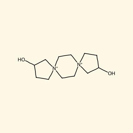 OC1CC[N+]2(CC[N+]3(CCC(O)C3)CC2)C1